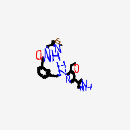 O=C(NCc1cscn1)c1cccc(CNc2ncc(-c3cn[nH]c3)c3c2CCO3)c1